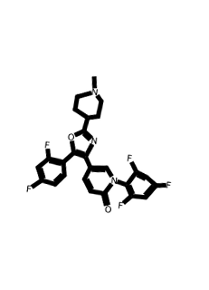 CN1CCC(c2nc(-c3ccc(=O)n(-c4c(F)cc(F)cc4F)c3)c(-c3ccc(F)cc3F)o2)CC1